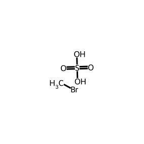 CBr.O=S(=O)(O)O